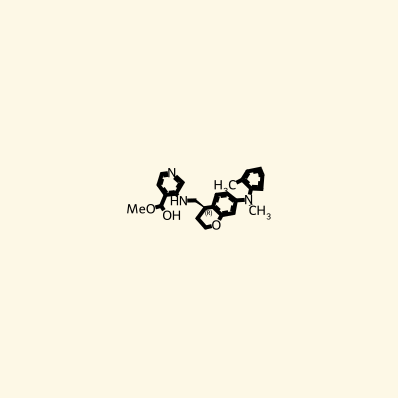 COC(O)c1ccncc1NC[C@@H]1CCOc2cc(N(C)c3ccccc3C)ccc21